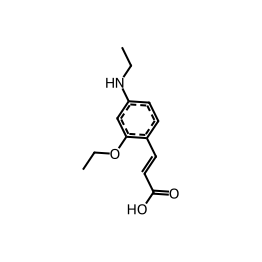 CCNc1ccc(C=CC(=O)O)c(OCC)c1